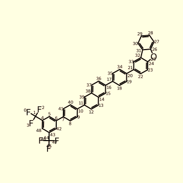 FC(F)(F)c1cc(-c2ccc(-c3ccc4cc(-c5ccc(-c6ccc7oc8ccccc8c7c6)cc5)ccc4c3)cc2)cc(C(F)(F)F)c1